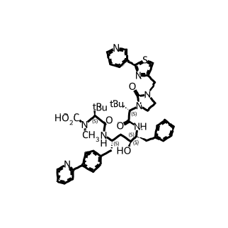 CN(C(=O)O)[C@H](C(=O)N[C@@H](Cc1ccc(-c2ccccn2)cc1)C[C@H](O)[C@H](Cc1ccccc1)NC(=O)[C@@H](N1CCN(Cc2csc(-c3cccnc3)n2)C1=O)C(C)(C)C)C(C)(C)C